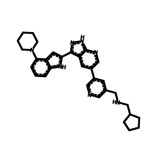 c1cc(N2CCCCC2)c2cc(-c3n[nH]c4ncc(-c5cncc(CNCC6CCCC6)c5)cc34)[nH]c2c1